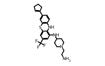 NCCN1CCC(Nc2cc(C(F)(F)F)cc3c2Nc2ccc(C4=CCCC4)cc2S3)CC1